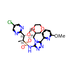 COc1cccc(-c2nnc(NS(=O)(=O)[C@@H](C)[C@@H](OC(C)C)c3ncc(Cl)cn3)n2[C@H](C)C2COCCO2)n1